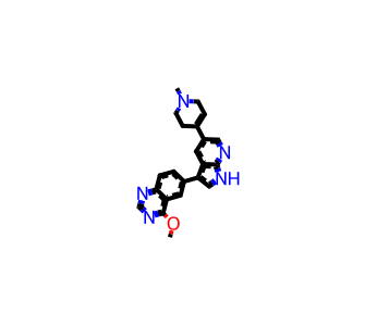 COc1ncnc2ccc(-c3c[nH]c4ncc(C5=CCN(C)CC5)cc34)cc12